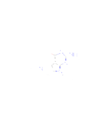 CN(C)Cc1cn(C)c2nc(N)[nH]c(=O)c12